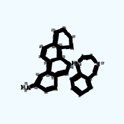 C1=CNc2ccccc2C=N1.Nc1ccc2c(c1)=c1ccc3c(c1CC=2)CCCC=3